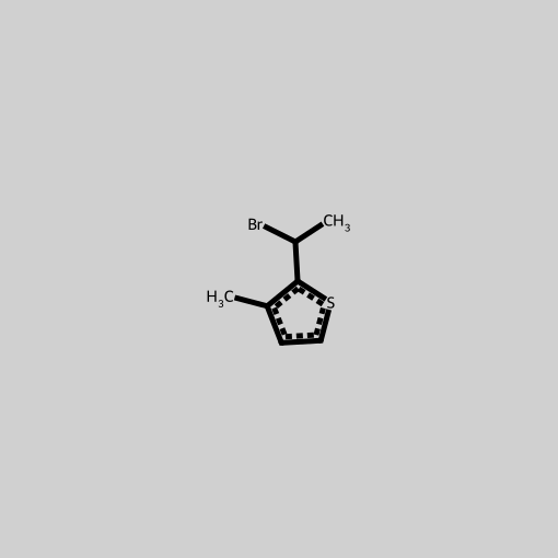 Cc1ccsc1C(C)Br